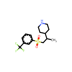 CC(CS(=O)(=O)c1cccc(C(F)(F)F)c1)C1CCNCC1